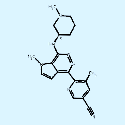 Cc1cc(C#N)cnc1-c1nnc(N[C@@H]2CCCN(C)C2)c2c1ccn2C